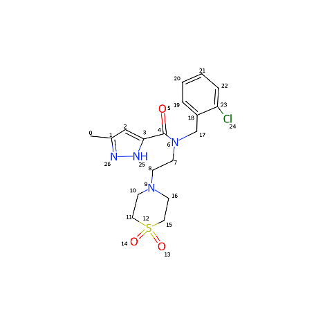 Cc1cc(C(=O)N(CCN2CCS(=O)(=O)CC2)Cc2ccccc2Cl)[nH]n1